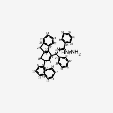 NN/C(=N\C(C1=CC(c2cccc3ccccc23)CC2=C1c1ccccc1C2)c1ccccc1)c1ccccc1